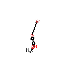 CCOC(=O)c1ccc(-c2ccc(OCCCCCCCCCCBr)cc2)cc1